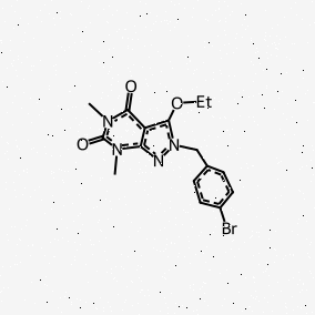 CCOc1c2c(=O)n(C)c(=O)n(C)c2nn1Cc1ccc(Br)cc1